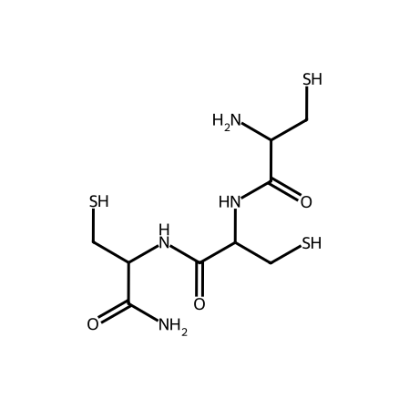 NC(=O)C(CS)NC(=O)C(CS)NC(=O)C(N)CS